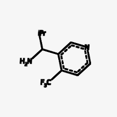 CC(C)C(N)c1cnccc1C(F)(F)F